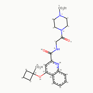 CCOC(=O)N1CCN(C(=O)CNC(=O)c2cc(OC3(C(=O)O)CCC3)c3ccccc3n2)CC1